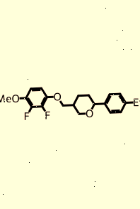 CCc1ccc(C2CCC(COc3ccc(OC)c(F)c3F)CO2)cc1